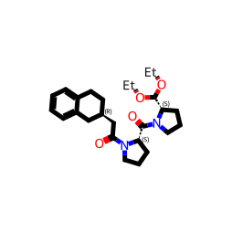 CCOC(OCC)[C@@H]1CCCN1C(=O)[C@@H]1CCCN1C(=O)C[C@@H]1CCc2ccccc2C1